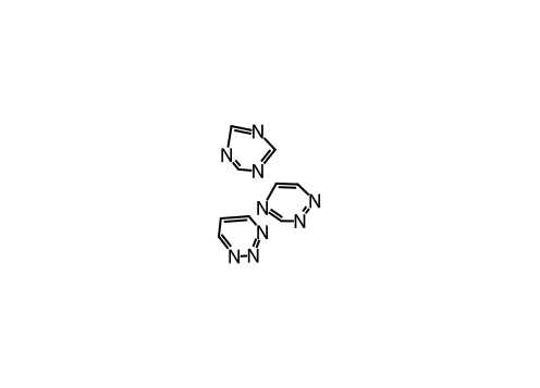 c1cnncn1.c1cnnnc1.c1ncncn1